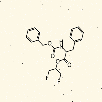 O=C(NC(Cc1ccccc1)C(=O)OC(CF)CF)OCc1ccccc1